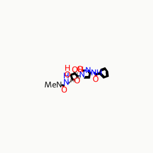 CNC(=O)NC[C@H]1O[C@@H](n2ccc(NC(=O)c3ccccc3)nc2=O)[C@@H](O)C1O